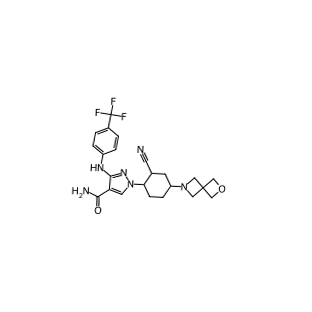 N#CC1CC(N2CC3(COC3)C2)CCC1n1cc(C(N)=O)c(Nc2ccc(C(F)(F)F)cc2)n1